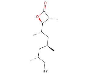 CC(C)C[C@H](C)C[C@H](C)C[C@H](C)[C@H]1OC(=O)[C@@H]1C